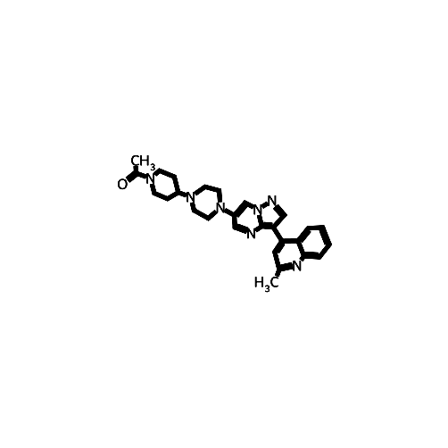 CC(=O)N1CCC(N2CCN(c3cnc4c(-c5cc(C)nc6ccccc56)cnn4c3)CC2)CC1